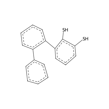 Sc1cccc(-c2ccccc2-c2ccccc2)c1S